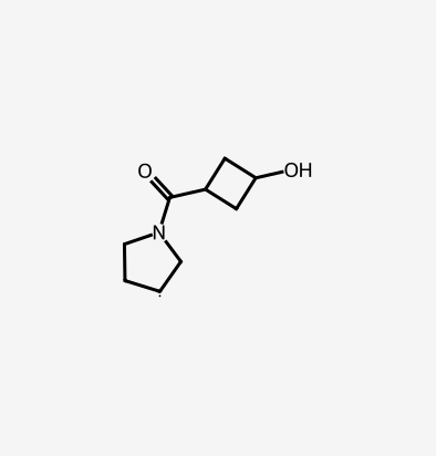 O=C(C1CC(O)C1)N1C[CH]CC1